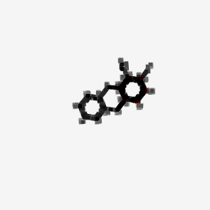 Clc1c(I)ccc2c1C1c3ccccc3C2c2ccccc21